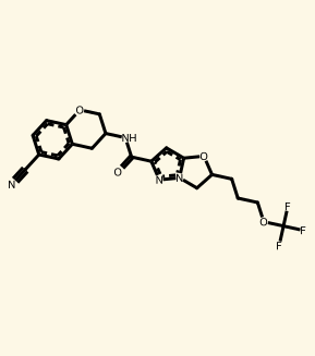 N#Cc1ccc2c(c1)CC(NC(=O)c1cc3n(n1)CC(CCCOC(F)(F)F)O3)CO2